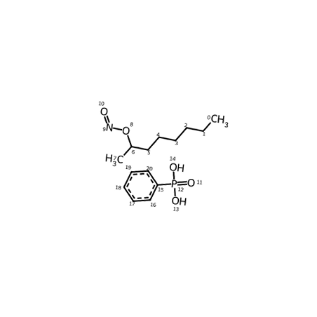 CCCCCCC(C)ON=O.O=P(O)(O)c1ccccc1